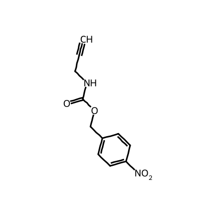 C#CCNC(=O)OCc1ccc([N+](=O)[O-])cc1